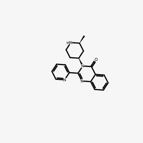 C[C@H]1C[C@@H](n2c(-c3ccccn3)nc3ccccc3c2=O)CCN1